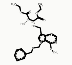 CCOC(=O)[C@@H](O)[C@@H](NCc1cn(COCc2ccccc2)c2c(OC)ncnc12)C(=O)OCC